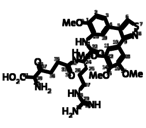 COc1ccc(-c2csnc2-c2cc(OC)c(OC)c(OC)c2)cc1NC(=O)[C@H](CCCNC(=N)N)NC(=O)CCC(=O)C(N)C(=O)O